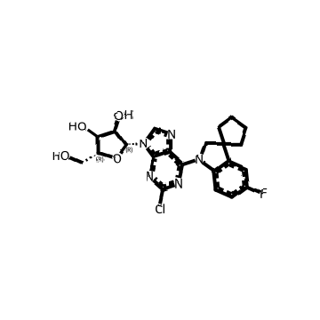 OC[C@H]1O[C@@H](n2cnc3c(N4CC5(CCCC5)c5cc(F)ccc54)nc(Cl)nc32)C(O)C1O